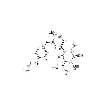 CCOc1ccc(Cc2cc([C@@H]3OC(C(O)O)[C@@H](O)[C@H](O)[C@H]3O)ccc2Cl)cc1